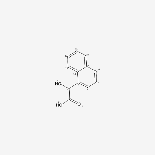 O=C(O)C(O)c1ccnc2ccccc12